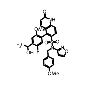 COc1ccc(CN(c2ccon2)S(=O)(=O)c2ccc3[nH]c(=O)ccc3c2-c2cc(F)c(C(O)C(F)(F)F)cc2OC)cc1